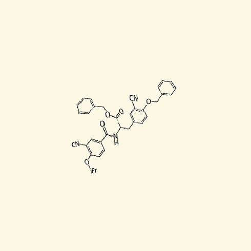 [C-]#[N+]c1cc(C(=O)NC(Cc2ccc(OCc3ccccc3)c(C#N)c2)C(=O)OCc2ccccc2)ccc1OC(C)C